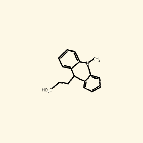 CN1c2ccccc2C(CCC(=O)O)c2ccccc21